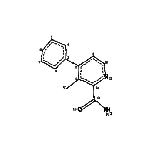 Cc1c(-c2ccccc2)ccnc1C(N)=O